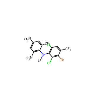 CCN(c1c([N+](=O)[O-])cc([N+](=O)[O-])cc1C(F)(F)F)c1c(Cl)cc(C(F)(F)F)c(Br)c1Cl